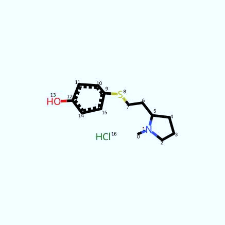 CN1CCCC1CCSc1ccc(O)cc1.Cl